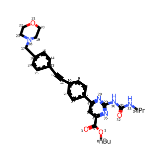 CCCCOC(=O)c1cc(-c2ccc(C#Cc3ccc(CN4CCOCC4)cc3)cc2)nc(NC(=O)NC(C)C)n1